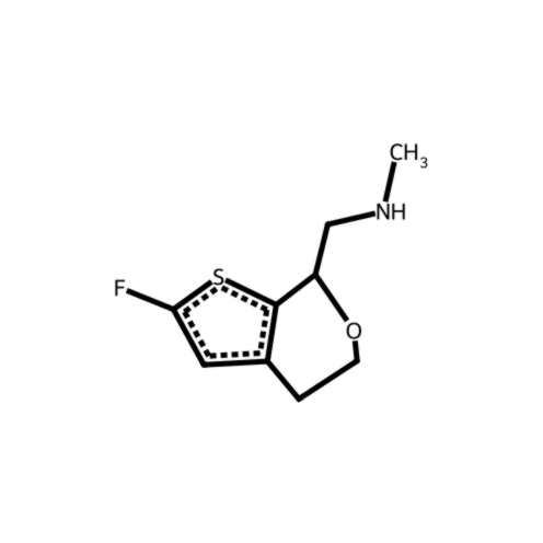 CNCC1OCCc2cc(F)sc21